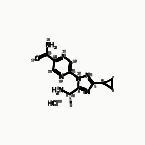 C[C@H](N)c1nc(C2CC2)nn1-c1cnc(C(N)=O)cn1.Cl